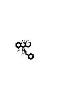 Fc1cccc2nc3c(c(NCCc4ccccc4)c12)CCCO3